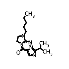 CCCCCN1CCn2c1nn1c(C(C)C)ncc1c2=O